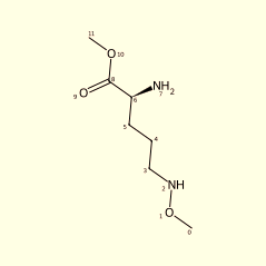 CONCCC[C@H](N)C(=O)OC